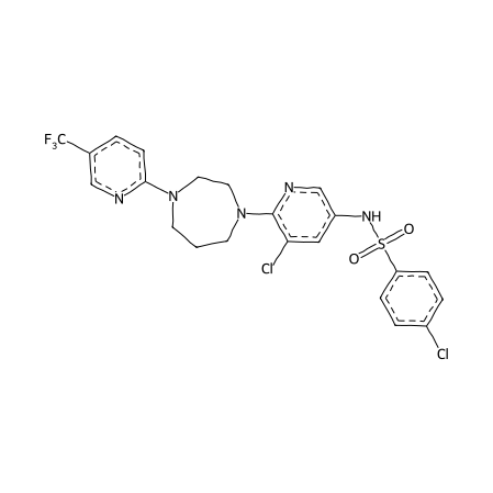 O=S(=O)(Nc1cnc(N2CCCN(c3ccc(C(F)(F)F)cn3)CC2)c(Cl)c1)c1ccc(Cl)cc1